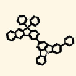 c1ccc(-c2ccc3c(c2)c2cc(-c4ccc5c(c4)-c4cc6ccccc6cc4C5(c4ccccc4)c4ccccc4)cc4c5ccccc5n3c42)cc1